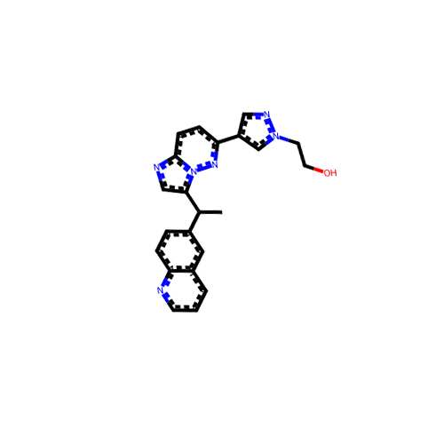 CC(c1ccc2ncccc2c1)c1cnc2ccc(-c3cnn(CCO)c3)nn12